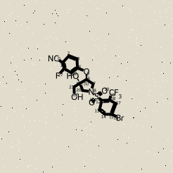 N#Cc1ccc(O[C@H]2CN(S(=O)(=O)c3ccc(Br)cc3C(F)(F)F)C[C@@]2(O)CO)cc1F